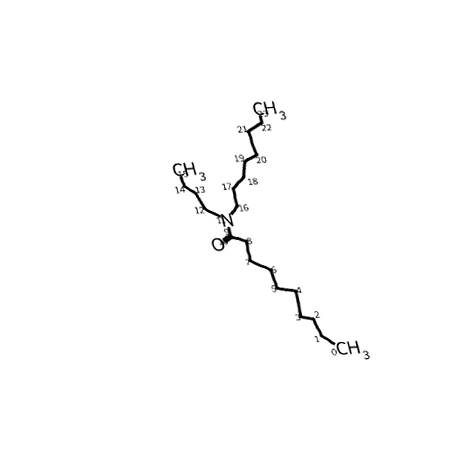 CCCCCCCCCC(=O)N(CCCC)CCCCCCCC